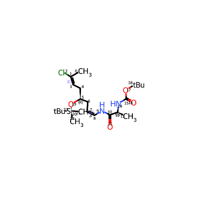 C/C(Cl)=C\C[C@@H](C/C=C\NC(=O)[C@H](C)NC(=O)OC(C)(C)C)O[Si](C)(C)C(C)(C)C